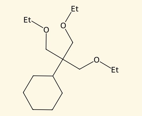 CCOCC(COCC)(COCC)C1CCCCC1